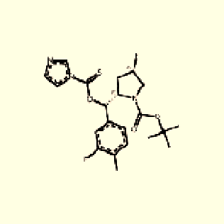 Cc1ccc(C(OC(=S)n2ccnc2)[C@@H]2C[C@@H](F)CN2C(=O)OC(C)(C)C)cc1F